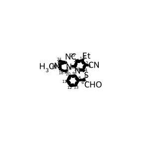 CCc1c(C#N)c(SC(C=O)c2ccccc2)nc(N2CC3CC2CN3C)c1C#N